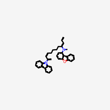 C=C/C=C(\CCCC/C=C\C(=C)n1c2ccccc2c2ccccc21)N(C)c1cccc2oc3ccccc3c12